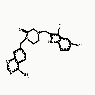 Nc1ncnc2cc(CN3CCN(Cc4[nH]c5ccc(Cl)cc5c4F)CC3=O)ccc12